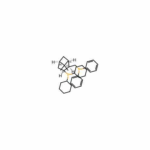 CC1(C)[C@H]2C[C@H](P(C3CCCCC3)C3CCCCC3)[C@H](CP(c3ccccc3)c3ccccc3)[C@@H]1C2